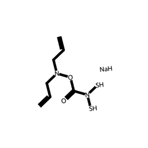 C=CCN(CC=C)OC(=O)N(S)S.[NaH]